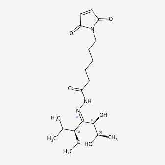 CO[C@H](/C(=N/NC(=O)CCCCCN1C(=O)C=CC1=O)[C@@H](O)[C@@H](C)O)C(C)C